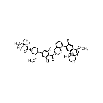 CC[C@@H]1CN(C(=O)OC(C)(C)C)CCN1c1cc(Cl)c(C(=O)N2COc3c(cccc3-c3cc(N4[C@@H]5CC[C@H]4COC5)c(C(=O)OC)cc3F)C2)c(Cl)c1